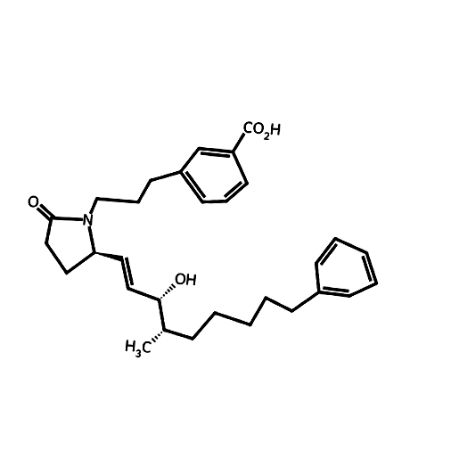 C[C@@H](CCCCCc1ccccc1)[C@@H](O)C=C[C@H]1CCC(=O)N1CCCc1cccc(C(=O)O)c1